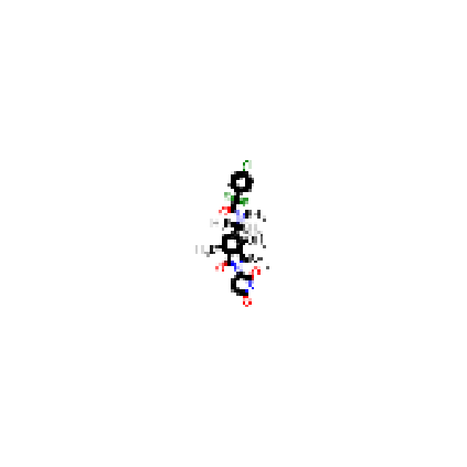 Bc1cc(C(B)(B)N(B)C(=O)C(F)(F)c2ccc(Cl)cc2)c(B)c2c1C(=O)N(C1CCC(=O)NC1=O)C2B